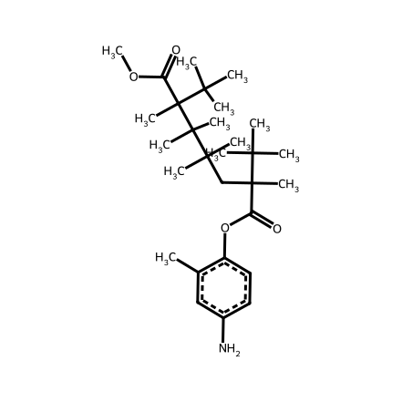 COC(=O)C(C)(C(C)(C)C)C(C)(C)C(C)(C)CC(C)(C(=O)Oc1ccc(N)cc1C)C(C)(C)C